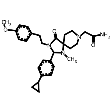 COc1ccc(CCN2C(=O)C3(CCN(CC(N)=O)CC3)N(C)C2c2ccc(C3CC3)cc2)cc1